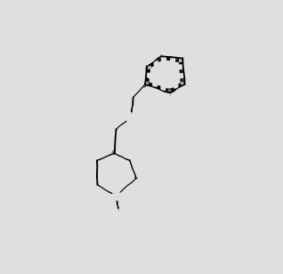 O=C(O)N1CCC(COCc2ccccc2)CC1